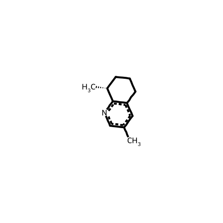 Cc1cnc2c(c1)CCC[C@H]2C